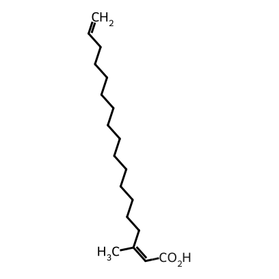 C=CCCCCCCCCCCCCCC(C)=CC(=O)O